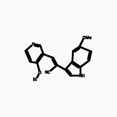 CCOc1ccncc1C=C(C#N)c1c[nH]c2ccc(OC)cc12